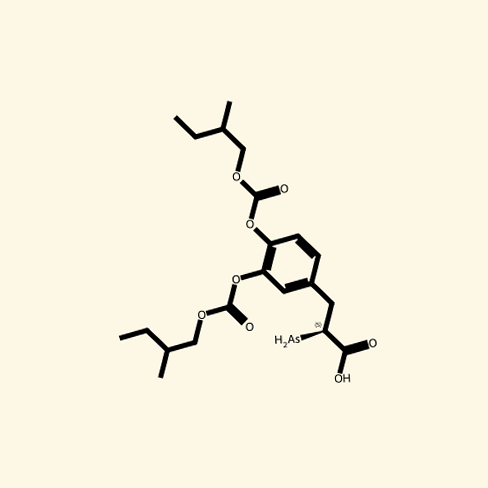 CCC(C)COC(=O)Oc1ccc(C[C@H]([AsH2])C(=O)O)cc1OC(=O)OCC(C)CC